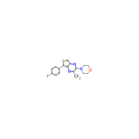 Fc1ccc(-c2scc3nc(N4CCOCC4)c(C(F)(F)F)nc23)cc1